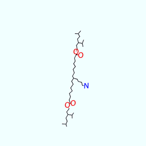 CC(C)CCC(CCOC(=O)CCCCCCCC(CCCCCCCC(=O)OCCC(CCC(C)C)C(C)C)CCCCN(C)C)C(C)C